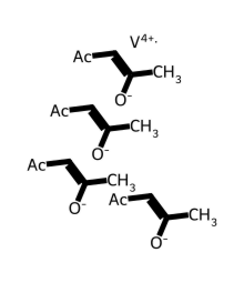 CC(=O)/C=C(/C)[O-].CC(=O)/C=C(/C)[O-].CC(=O)/C=C(/C)[O-].CC(=O)/C=C(/C)[O-].[V+4]